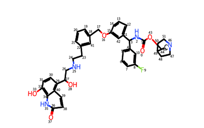 O=C(NC(c1cccc(F)c1)c1cccc(OCc2cccc(CCNCC(O)c3ccc(O)c4[nH]c(=O)ccc34)c2)c1)OC1CN2CCC1CC2